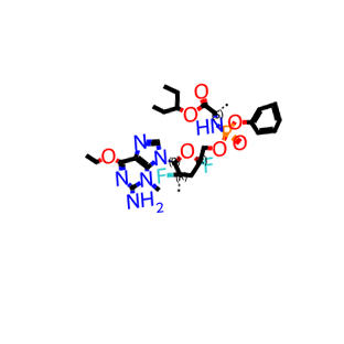 CCOC1=NC(N)N(C)c2c1ncn2[C@@H]1O[C@](F)(COP(=O)(N[C@@H](C)C(=O)OC(CC)CC)Oc2ccccc2)C[C@@]1(C)F